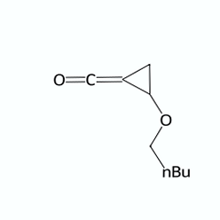 CCCCCOC1CC1=C=O